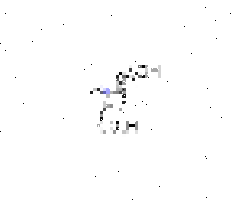 C/C=C1\[C@H](CC(=O)O)CC[C@H]1OC(C)(C)O